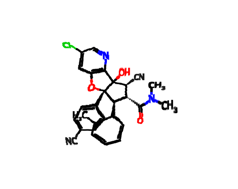 CC1C=CC=CC1[C@@H]1[C@@H](C(=O)N(C)C)[C@H](C#N)[C@@]2(O)c3ncc(Cl)cc3O[C@@]12c1ccc(C#N)cc1